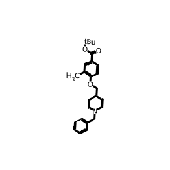 Cc1cc(C(=O)OC(C)(C)C)ccc1OCC1CCN(Cc2ccccc2)CC1